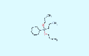 CCCO[Si](CCC)(OCCC)C1CCCCC1